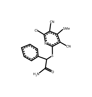 CSc1c(C#N)c(Cl)nc(SC(C(N)=O)c2ccccc2)c1C#N